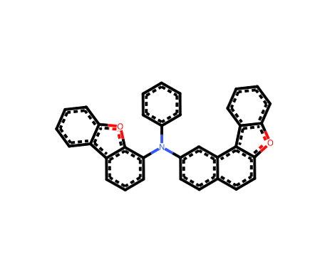 c1ccc(N(c2ccc3ccc4oc5ccccc5c4c3c2)c2cccc3c2oc2ccccc23)cc1